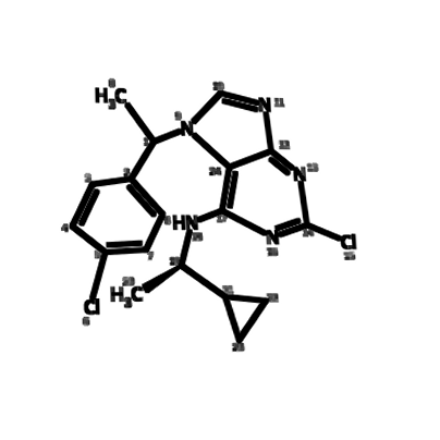 CC(c1ccc(Cl)cc1)n1cnc2nc(Cl)nc(N[C@H](C)C3CC3)c21